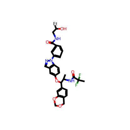 CCC(O)CNC(=O)c1cccc(-n2ncc3cc(OC(c4ccc5c(c4)OCOC5)C(C)NC(=O)C(C)(F)F)ccc32)c1